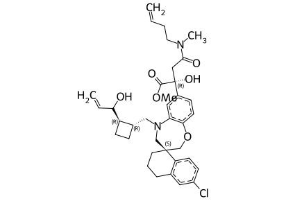 C=CCCN(C)C(=O)C[C@](O)(C(=O)OC)c1ccc2c(c1)N(C[C@@H]1CC[C@H]1C(O)C=C)C[C@@]1(CCCc3cc(Cl)ccc31)CO2